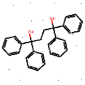 OC(CCC(O)(c1ccccc1)c1ccccc1)(c1ccccc1)c1ccccc1